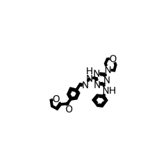 O=C(C1=CCCO1)c1ccc(/C=N/Nc2nc(Nc3ccccc3)nc(N3CCOCC3)n2)cc1